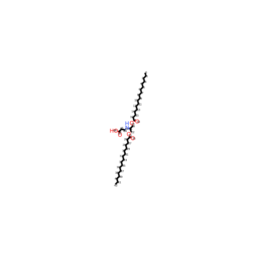 CCCCCCCCCCCCCCCCCC(=O)OCC(COC(=O)CCCCCCCCCCCCCCCCC)NCCC(=O)O